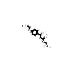 CCOC(=O)CC(N)c1ccc(OCC)cc1